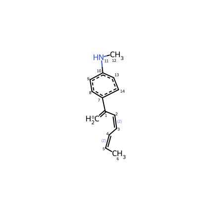 C=C(/C=C\C=C/C)c1ccc(NC)cc1